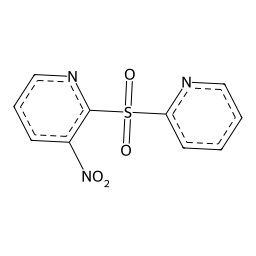 O=[N+]([O-])c1cccnc1S(=O)(=O)c1ccccn1